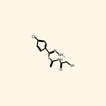 C=C(NC(=O)CS)S/C(=N\N)c1ccc(Cl)cc1